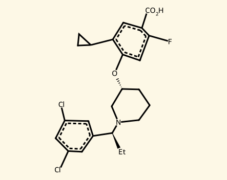 CC[C@@H](c1cc(Cl)cc(Cl)c1)N1CCC[C@@H](Oc2cc(F)c(C(=O)O)cc2C2CC2)C1